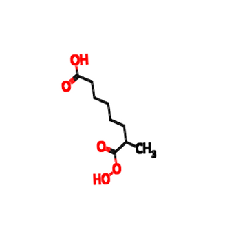 CC(CCCCCC(=O)O)C(=O)OO